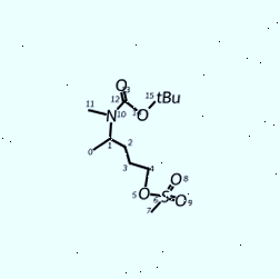 CC(CCCOS(C)(=O)=O)N(C)C(=O)OC(C)(C)C